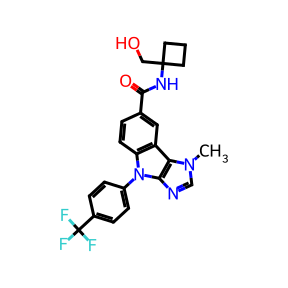 Cn1cnc2c1c1cc(C(=O)NC3(CO)CCC3)ccc1n2-c1ccc(C(F)(F)F)cc1